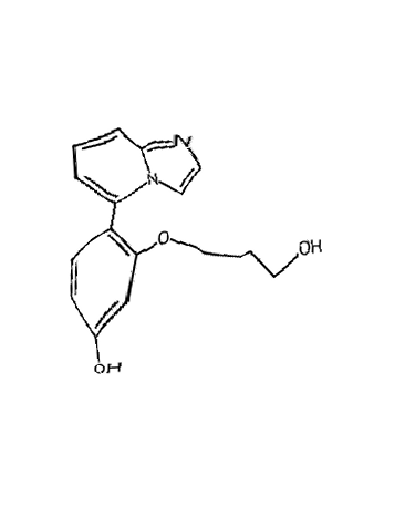 OCCCOc1cc(O)ccc1-c1cccc2nccn12